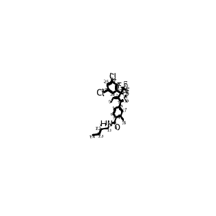 CC=C1C(c2ccc(C(=O)NCCCC)c(C)c2)=NOC1(c1cc(Cl)cc(Cl)c1)C(F)(F)F